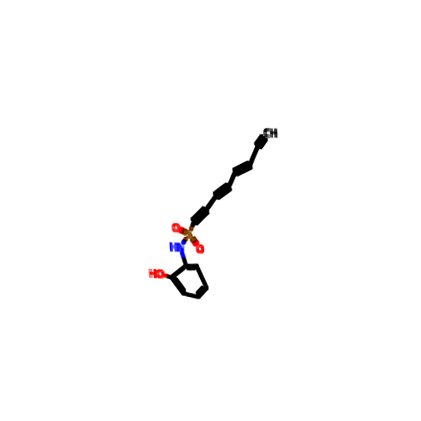 C#CC#CC#CC#CS(=O)(=O)Nc1ccccc1O